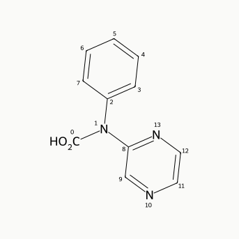 O=C(O)N(c1ccccc1)c1cnccn1